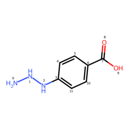 NNNc1ccc(C(=O)O)cc1